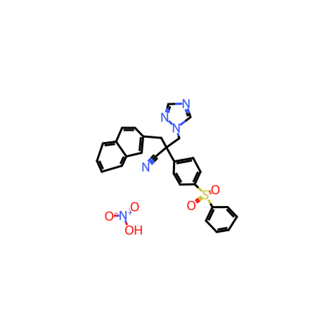 N#CC(Cc1ccc2ccccc2c1)(Cn1cncn1)c1ccc(S(=O)(=O)c2ccccc2)cc1.O=[N+]([O-])O